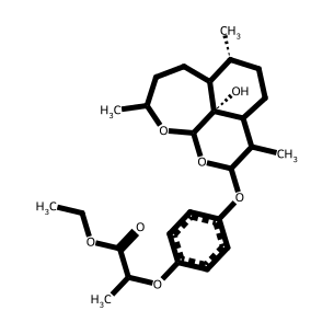 CCOC(=O)C(C)Oc1ccc(OC2OC3OC(C)CCC4[C@H](C)CCC(C2C)[C@@]34O)cc1